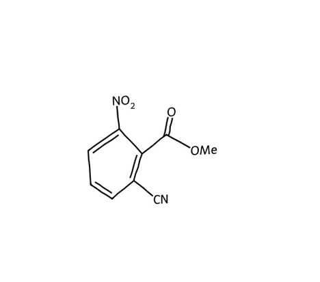 COC(=O)c1c(C#N)cccc1[N+](=O)[O-]